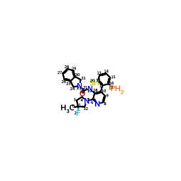 CC1(F)CCN(c2nccc(-c3ccccc3P)c2N(S)C(=O)N2Cc3ccccc3C2)C1